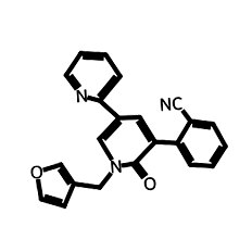 N#Cc1ccccc1-c1cc(-c2ccccn2)cn(Cc2ccoc2)c1=O